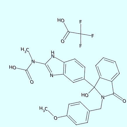 COc1ccc(CN2C(=O)c3ccccc3C2(O)c2ccc3[nH]c(N(C)C(=O)O)nc3c2)cc1.O=C(O)C(F)(F)F